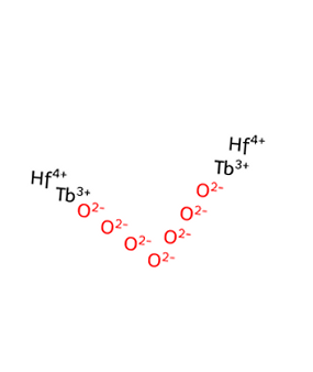 [Hf+4].[Hf+4].[O-2].[O-2].[O-2].[O-2].[O-2].[O-2].[O-2].[Tb+3].[Tb+3]